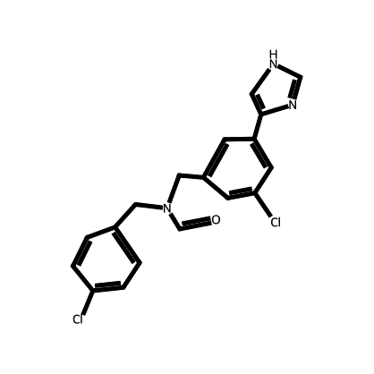 O=CN(Cc1ccc(Cl)cc1)Cc1cc(Cl)cc(-c2c[nH]cn2)c1